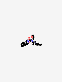 CCCC/C(C)=C/C[C@H](CC)[C@@H](O)N(CCC(=O)N1CCC(CC2CCCCC2)CC1)CC1=CCCO1